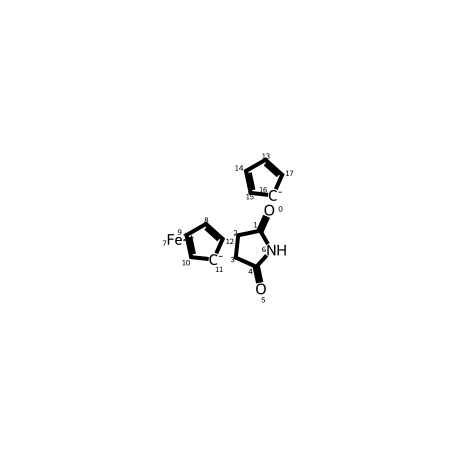 O=C1CCC(=O)N1.[Fe+2].c1cc[cH-]c1.c1cc[cH-]c1